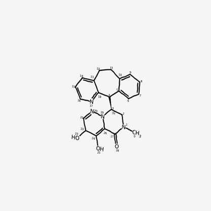 CN1C[C@H](C2c3ccccc3CCc3cccnc32)N2N=CC(O)C(O)=C2C1=O